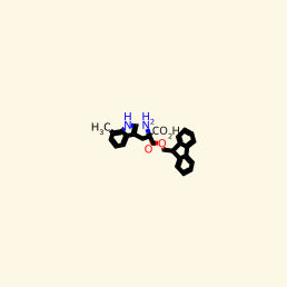 Cc1cccc2c(C[C@](N)(C(=O)O)C(=O)OCC3c4ccccc4-c4ccccc43)c[nH]c12